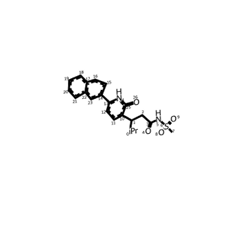 CC(C)C(CC(=O)NS(C)(=O)=O)c1ccc(-c2ccc3ccccc3c2)[nH]c1=O